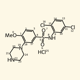 COc1ccc(S(=O)(=O)Nc2cc(Cl)ccc2Cl)cc1N1CCNCC1.Cl